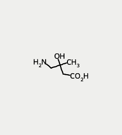 CC(O)(CN)CC(=O)O